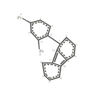 CC(C)c1ccc(-c2cccc3c2=c2ccccc2=3)c(C(C)C)c1